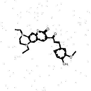 CCN1CCN(CC)c2cc3oc(=O)c(C(=O)/C=C/c4ccc(O)c(OC)c4)cc3cc21